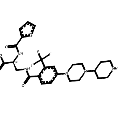 O=C(N[C@@H](CNC(=O)c1ccc(N2CCN(C3CCNCC3)CC2)cc1C(F)(F)F)C(=O)O)c1cccs1